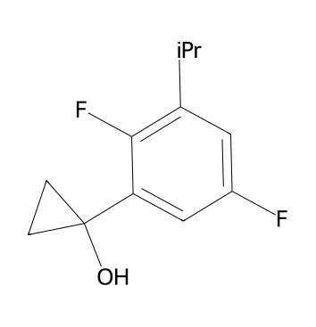 CC(C)c1cc(F)cc(C2(O)CC2)c1F